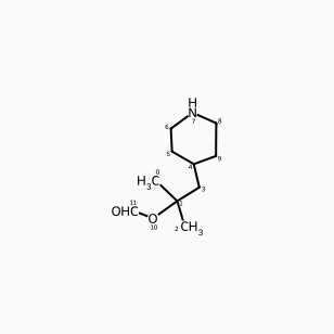 CC(C)(CC1CCNCC1)OC=O